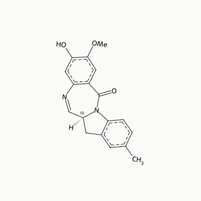 COc1cc2c(cc1O)N=C[C@@H]1Cc3cc(C)ccc3N1C2=O